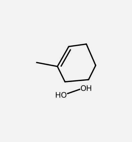 CC1=CCCCC1.OO